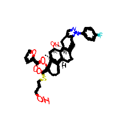 C[C@]12Cc3cnn(-c4ccc(F)cc4)c3C=C1CC[C@@H]1C2[C@@H](O)C[C@@]2(C)C1CC[C@]2(OC(=O)c1ccco1)C(=O)SCCCO